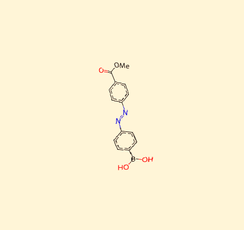 COC(=O)c1ccc(/N=N/c2ccc(B(O)O)cc2)cc1